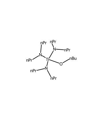 CCCC[O][Ti]([N](CCC)CCC)([N](CCC)CCC)[N](CCC)CCC